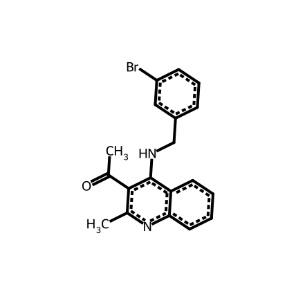 CC(=O)c1c(C)nc2ccccc2c1NCc1cccc(Br)c1